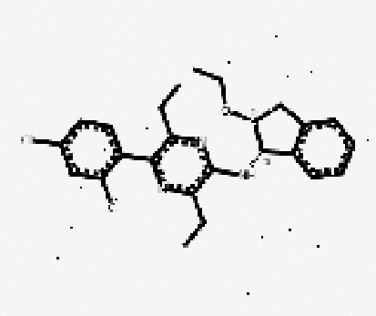 CCO[C@H]1Cc2ccccc2[C@@H]1Nc1nc(CC)c(-c2ccc(Cl)cc2Cl)nc1CC